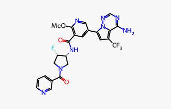 COc1ncc(-c2cc(C(F)(F)F)c3c(N)ncnn23)cc1C(=O)N[C@@H]1CN(C(=O)c2cccnc2)C[C@@H]1F